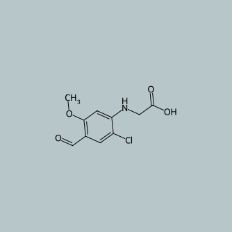 COc1cc(NCC(=O)O)c(Cl)cc1C=O